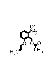 C=CCOc1cccc([N+](=O)[O-])c1COC(C)=O